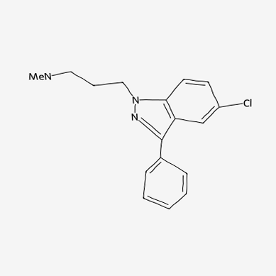 CNCCCn1nc(-c2ccccc2)c2cc(Cl)ccc21